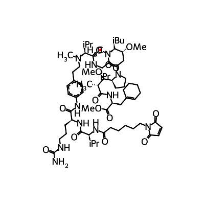 CC[C@H](C)[C@@H]([C@@H](CC(=O)N1CCC[C@H]1[C@H](OC)[C@@H](C)C(=O)N[C@@H](CC1=CCCCC1)C(=O)OC)OC)N(C)C(=O)[C@@H](NC(=O)[C@H](C(C)C)N(C)CCc1ccc(NC(=O)[C@H](CCCNC(N)=O)NC(=O)[C@@H](NC(=O)CCCCCN2C(=O)C=CC2=O)C(C)C)cc1)C(C)C